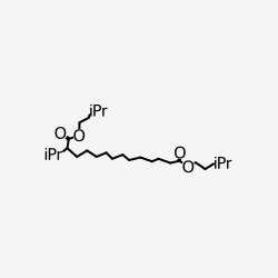 CC(C)CCOC(=O)CCCCCCCCCCCC(C(=O)OCCC(C)C)C(C)C